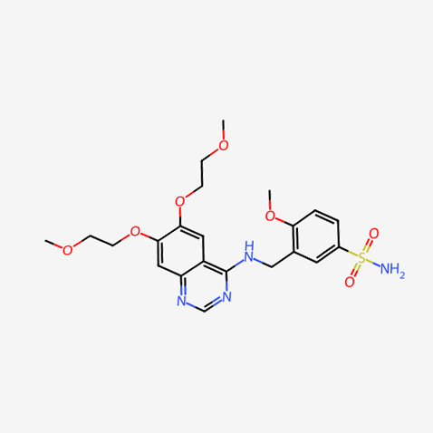 COCCOc1cc2ncnc(NCc3cc(S(N)(=O)=O)ccc3OC)c2cc1OCCOC